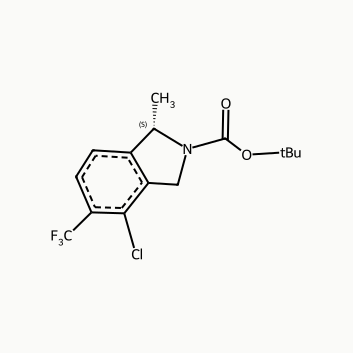 C[C@H]1c2ccc(C(F)(F)F)c(Cl)c2CN1C(=O)OC(C)(C)C